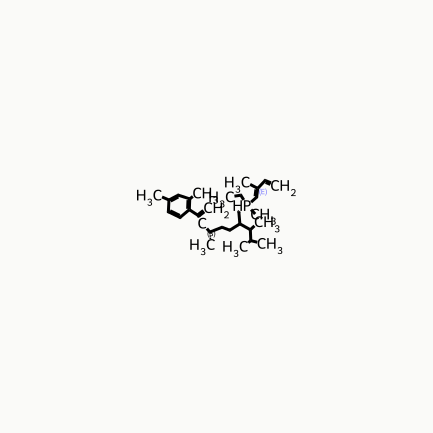 C=C/C(C)=C/[PH](C)(CC)CC(CC[C@H](C)CC(=C)c1ccc(C)cc1C)C(C)C(C)C